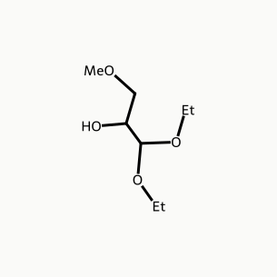 CCOC(OCC)C(O)COC